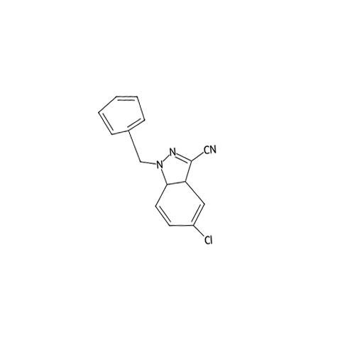 N#CC1=NN(Cc2ccccc2)C2C=CC(Cl)=CC12